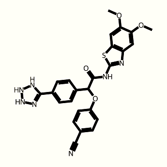 COc1cc2nc(NC(=O)C(Oc3ccc(C#N)cc3)c3ccc(C4=NNNN4)cc3)sc2cc1OC